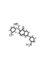 Nc1cc(-c2ccc3c(=O)n(C(CO)c4cccc(Cl)c4)cnc3c2)ccn1